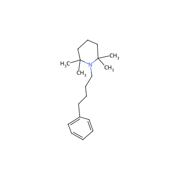 CC1(C)CCCC(C)(C)N1CCCCc1ccccc1